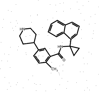 Cc1ccc(C2CCNCC2)cc1C(=O)NC1(c2cccc3ccccc23)CC1